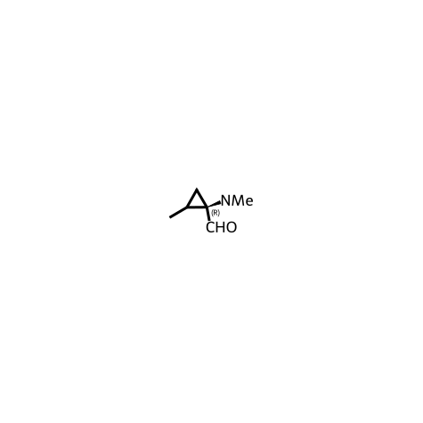 CN[C@]1(C=O)CC1C